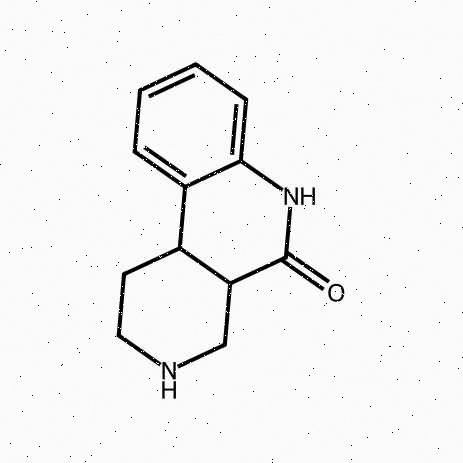 O=C1Nc2ccccc2C2CCNCC12